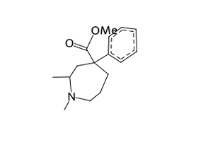 COC(=O)C1(c2ccccc2)CCCN(C)C(C)C1